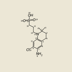 CC1(C)CCc2cc(N)c(Cl)cc2N1CCCS(=O)(=O)O